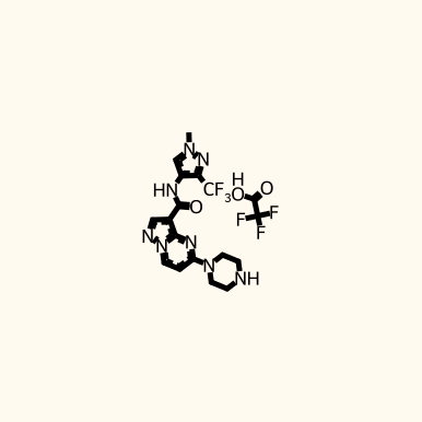 Cn1cc(NC(=O)c2cnn3ccc(N4CCNCC4)nc23)c(C(F)(F)F)n1.O=C(O)C(F)(F)F